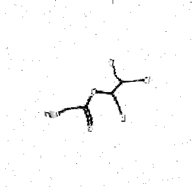 CCCCC(=O)OC(Cl)C(Cl)Cl